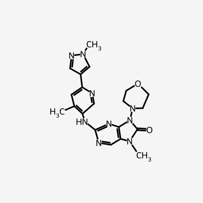 Cc1cc(-c2cnn(C)c2)ncc1Nc1ncc2c(n1)n(N1CCOCC1)c(=O)n2C